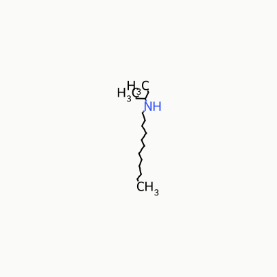 CCCCCCCCCCCCNC(CC)CC